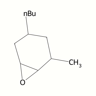 [CH2]CCCC1CC(C)C2OC2C1